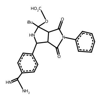 CCC(C)C1(OC(=O)O)NC(c2ccc(C(=N)N)cc2)C2C(=O)N(c3ccccc3)C(=O)C21